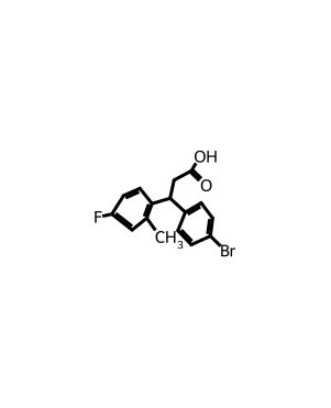 Cc1cc(F)ccc1C(CC(=O)O)c1ccc(Br)cc1